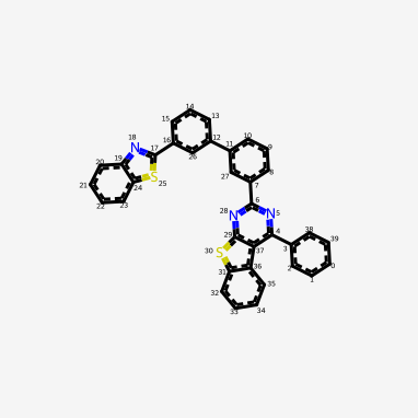 c1ccc(-c2nc(-c3cccc(-c4cccc(-c5nc6ccccc6s5)c4)c3)nc3sc4ccccc4c23)cc1